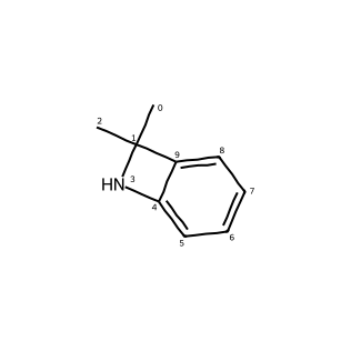 CC1(C)Nc2ccccc21